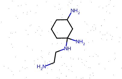 NCCNC1(N)CCCC(N)C1